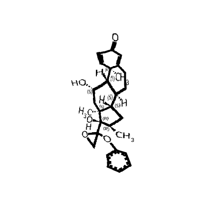 C[C@@H]1C[C@H]2[C@@H]3CCC4=CC(=O)C=C[C@]4(C)[C@H]3[C@@H](O)C[C@]2(C)[C@@]1(O)C1(Oc2ccccc2)CO1